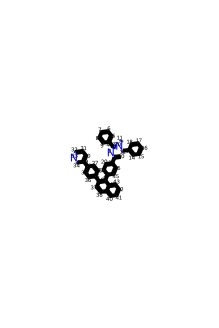 C=C(/N=C(/c1ccccc1)N(C)Cc1ccccc1)C1=CCC(c2c(-c3ccc(-c4cccnc4)cc3)ccc3ccccc23)C=C1